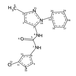 Cc1cc(NC(=O)Nc2csc(Cl)c2)n(-c2ccccc2)n1